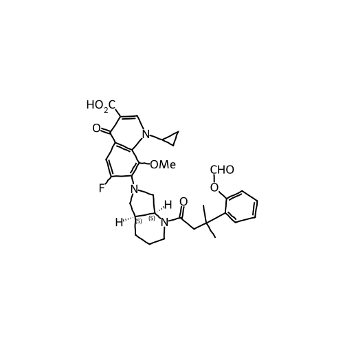 COc1c(N2C[C@@H]3CCCN(C(=O)CC(C)(C)c4ccccc4OC=O)[C@@H]3C2)c(F)cc2c(=O)c(C(=O)O)cn(C3CC3)c12